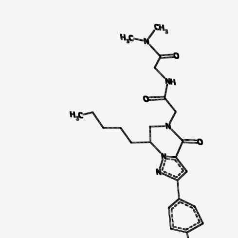 CCCCCC1CN(CC(=O)NCC(=O)N(C)C)C(=O)c2cc(-c3ccc(Cl)cc3)nn21